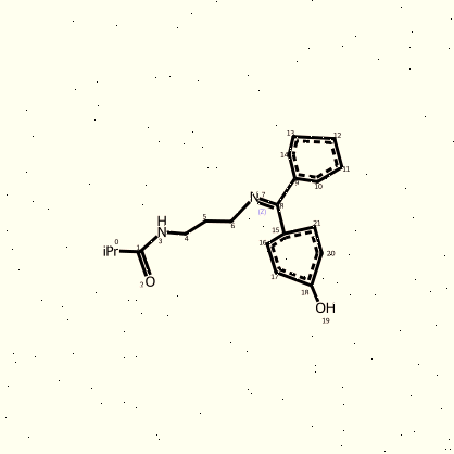 CC(C)C(=O)NCCC/N=C(/c1ccccc1)c1ccc(O)cc1